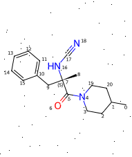 CC1CCN(C(=O)[C@](C)(Cc2ccccc2)NC#N)CC1